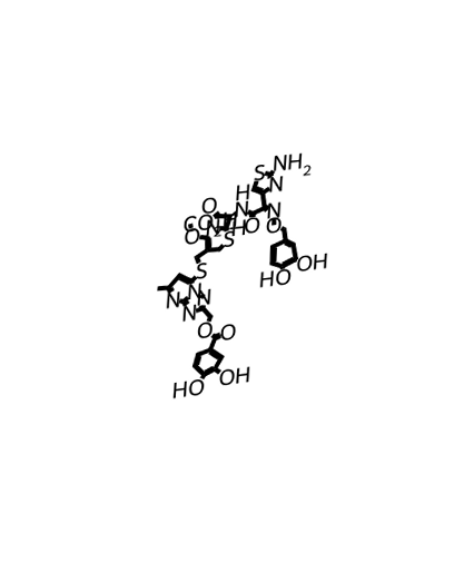 Cc1cc(SCC2=C(OC(=O)O)N3C(=O)[C@@H](NC(=O)/C(=N\OCc4ccc(O)c(O)c4)c4csc(N)n4)[C@H]3SC2)n2nc(COC(=O)c3ccc(O)c(O)c3)nc2n1